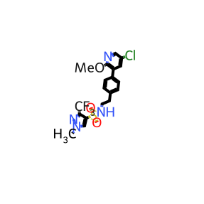 COc1ncc(Cl)cc1-c1ccc(CCNS(=O)(=O)c2cn(C)nc2C(F)(F)F)cc1